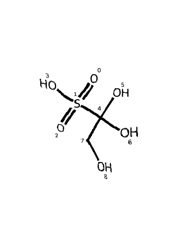 O=S(=O)(O)C(O)(O)CO